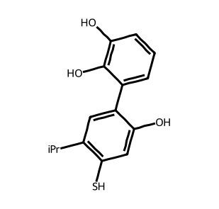 CC(C)c1cc(-c2cccc(O)c2O)c(O)cc1S